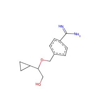 N=C(N)c1ccc(COC(CO)C2CC2)cc1